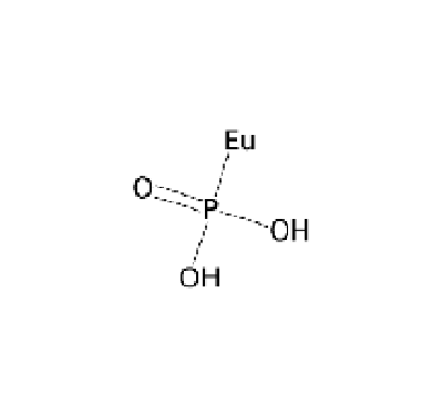 O=[P](O)(O)[Eu]